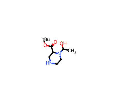 CC(O)N1CCNCC1C(=O)OC(C)(C)C